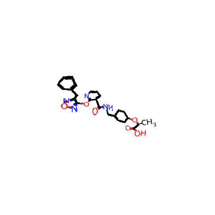 C[C@@H](OC1CC=C(CNC(=O)c2cccnc2Oc2nonc2Cc2ccccc2)CC1)C(=O)O